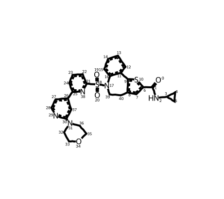 O=C(NC1CC1)c1cc2c(s1)-c1ccccc1N(S(=O)(=O)c1cccc(-c3ccnc(N4CCOCC4)c3)n1)CC2